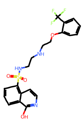 O=S(=O)(NCCNCCOc1ccccc1C(F)(F)F)c1cccc2c(O)nccc12